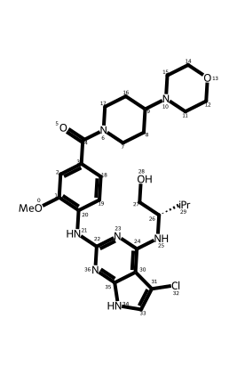 COc1cc(C(=O)N2CCC(N3CCOCC3)CC2)ccc1Nc1nc(N[C@H](CO)C(C)C)c2c(Cl)c[nH]c2n1